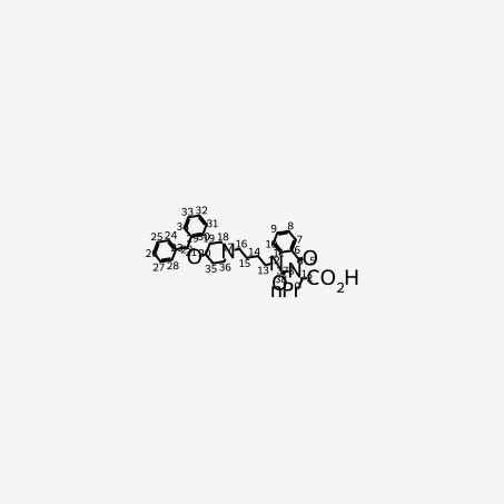 CCCC(C(=O)O)n1c(=O)c2ccccc2n(CCCCN2CCC(OC(c3ccccc3)c3ccccc3)CC2)c1=O